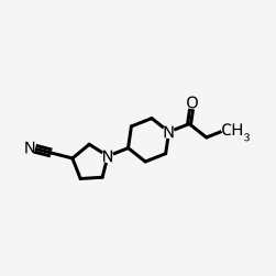 CCC(=O)N1CCC(N2CCC(C#N)C2)CC1